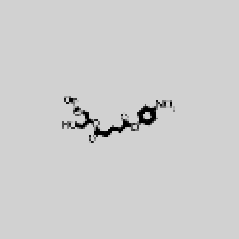 O=POCC(CO)OC(=O)CCCC(=O)Oc1ccc([N+](=O)[O-])cc1